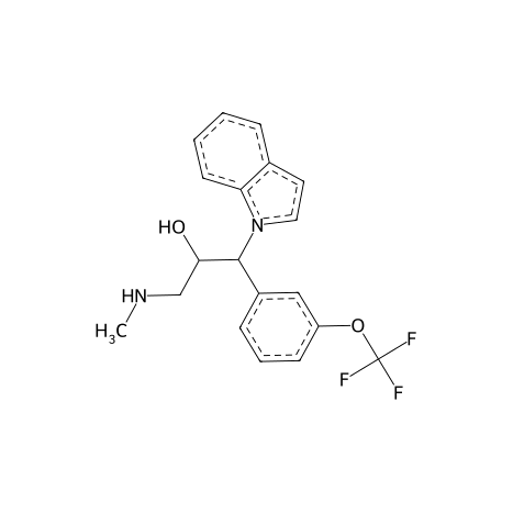 CNCC(O)C(c1cccc(OC(F)(F)F)c1)n1ccc2ccccc21